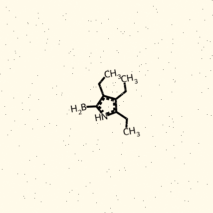 Bc1[nH]c(CC)c(CC)c1CC